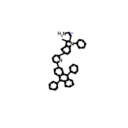 Cc1c(/C=C\N)n(-c2ccccc2)c2ccc(-c3cccc(-c4ccc5c(-c6ccccc6)c6ccccc6c(-c6ccccc6)c5c4)n3)cc12